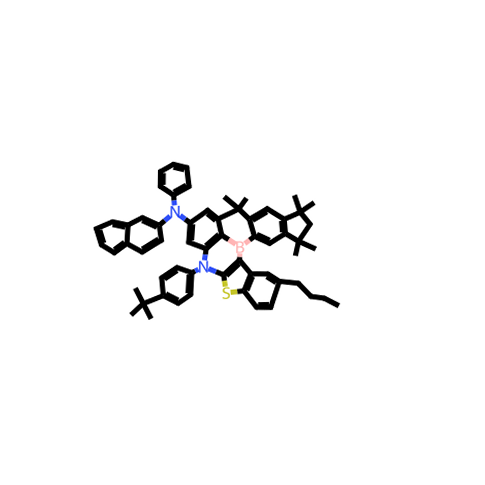 CCCCc1ccc2sc3c(c2c1)B1c2cc4c(cc2C(C)(C)c2cc(N(c5ccccc5)c5ccc6ccccc6c5)cc(c21)N3c1ccc(C(C)(C)C)cc1)C(C)(C)CC4(C)C